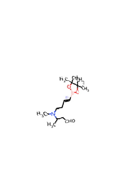 CC(CC=O)N(C)CC/C=C/B1OC(C)(C)C(C)(C)O1